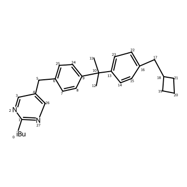 CCC(C)c1ncc(Cc2ccc(C(C)(C)c3ccc(CC4CCC4)cc3)cc2)cn1